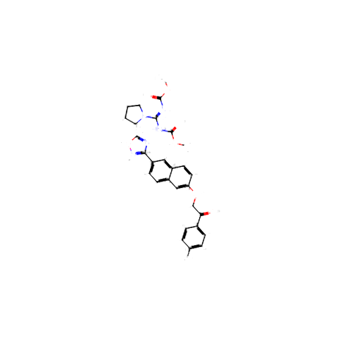 CC(C)(C)OC(=O)/N=C(/NC(=O)OC(C)(C)C)N1CCC[C@H]1c1nc(-c2ccc3cc(OCC(=O)c4ccc(C(F)(F)F)cc4)ccc3c2)no1